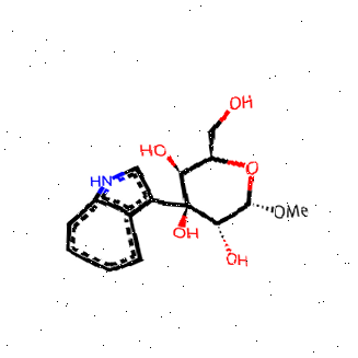 CO[C@H]1O[C@H](CO)[C@H](O)[C@@](O)(c2c[nH]c3ccccc23)[C@H]1O